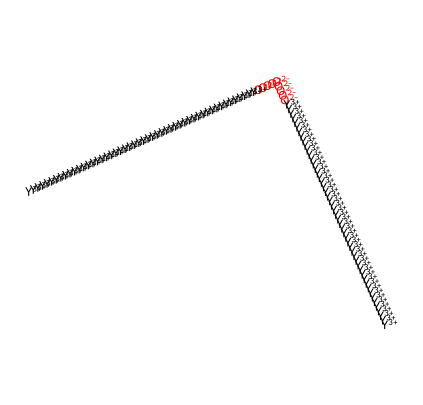 [O-2].[O-2].[O-2].[O-2].[O-2].[O-2].[O-2].[O-2].[O-2].[Y+3].[Y+3].[Y+3].[Y+3].[Y+3].[Y+3].[Y+3].[Y+3].[Y+3].[Y+3].[Y+3].[Y+3].[Y+3].[Y+3].[Y+3].[Y+3].[Y+3].[Y+3].[Y+3].[Y+3].[Y+3].[Y+3].[Y+3].[Y+3].[Y+3].[Y+3].[Y+3].[Y+3].[Y+3].[Y+3].[Y+3].[Y+3].[Y+3].[Y+3].[Y+3].[Y+3].[Y+3].[Y+3].[Y+3].[Y+3].[Y+3].[Y+3].[Y+3].[Y+3].[Y+3].[Y+3].[Y+3].[Y+3].[Y+3].[Y+3].[Y+3].[Y+3].[Y+3].[Y+3].[Y+3].[Y+3].[Y+3].[Y+3].[Y+3].[Y+3].[Y+3].[Y+3].[Y+3].[Y+3].[Y+3].[Y+3].[Y+3].[Y+3].[Y+3].[Y+3].[Y+3].[Y+3].[Y+3].[Y+3].[Y+3].[Y+3].[Y+3].[Y+3].[Y+3].[Y+3].[Y+3].[Y+3].[Y+3].[Y+3].[Y+3].[Y+3].[Y+3].[Y+3].[Y+3].[Y+3].[Y+3].[Y+3].[Y+3].[Y+3].[Y+3].[Y+3].[Y+3].[Y+3].[Y+3]